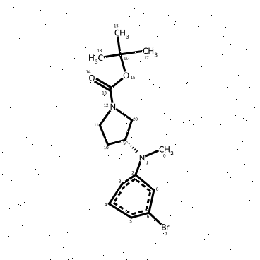 CN(c1cccc(Br)c1)[C@@H]1CCN(C(=O)OC(C)(C)C)C1